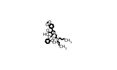 CCCCN(CCCC)C(=O)CN1CC(c2ccc3c(c2)OCO3)C(C(=O)O)C1COc1ccccc1OC